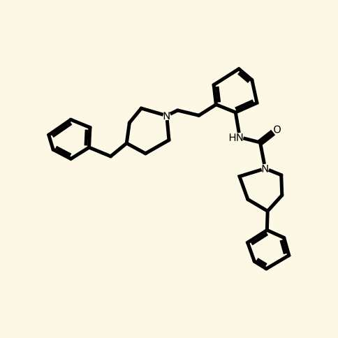 O=C(Nc1ccccc1CCN1CCC(Cc2ccccc2)CC1)N1CCC(c2ccccc2)CC1